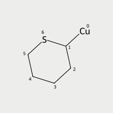 [Cu][CH]1CCCCS1